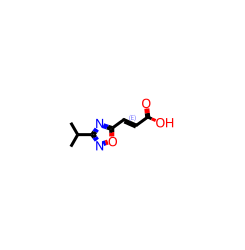 CC(C)c1noc(/C=C/C(=O)O)n1